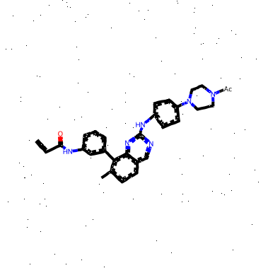 C=CC(=O)Nc1cccc(-c2c(C)ccc3cnc(Nc4ccc(N5CCN(C(C)=O)CC5)cc4)nc23)c1